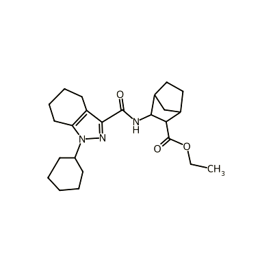 CCOC(=O)C1C2CCC(C2)C1NC(=O)c1nn(C2CCCCC2)c2c1CCCC2